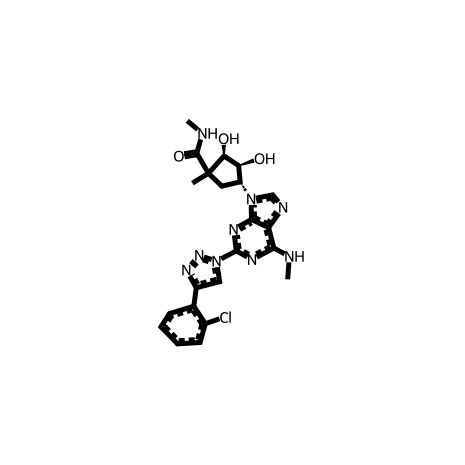 CNC(=O)C1(C)C[C@@H](n2cnc3c(NC)nc(-n4cc(-c5ccccc5Cl)nn4)nc32)[C@H](O)[C@@H]1O